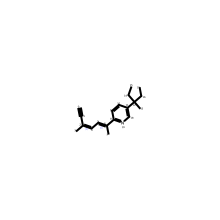 C#C/C(C)=C\C=C(/C)c1ccc(C(C)(CC)CC)cn1